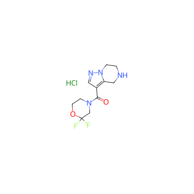 Cl.O=C(c1cnn2c1CNCC2)N1CCOC(F)(F)C1